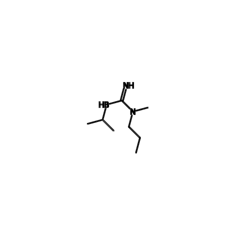 CCCN(C)C(=N)BC(C)C